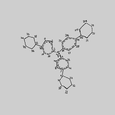 c1cc([SH](c2ccc(C3CCCCC3)cc2)c2ccc(C3CCCCC3)cc2)ccc1C1CCCCC1